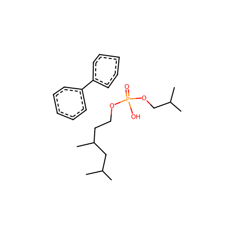 CC(C)COP(=O)(O)OCCC(C)CC(C)C.c1ccc(-c2ccccc2)cc1